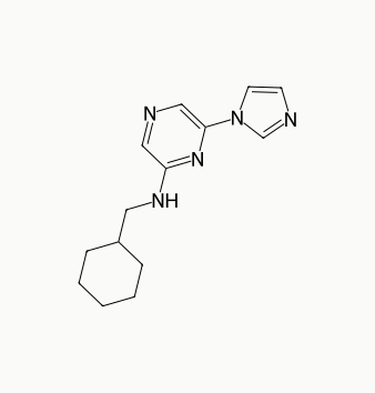 c1cn(-c2cncc(NCC3CCCCC3)n2)cn1